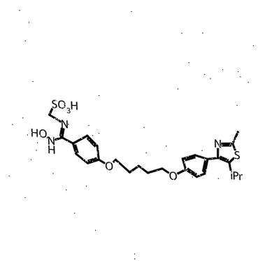 Cc1nc(-c2ccc(OCCCCCOc3ccc(C(=NCS(=O)(=O)O)NO)cc3)cc2)c(C(C)C)s1